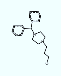 [O]CCCN1CCN(C(c2ccccc2)c2ccccc2)CC1